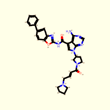 Nc1ncnc2c1c(C(=O)Nc1nc3cc(-c4ccccc4)ccc3o1)cn2C1CCN(C(=O)/C=C/CN2CCCC2)C1